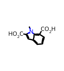 Cn1c(C(=O)O)cc2cccc(C(=O)O)c21